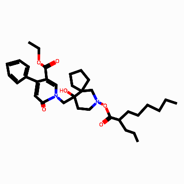 CCCCCCC(CCC)C(=O)ON1CCC(O)(Cn2cc(C(=O)OCC)c(-c3ccccc3)cc2=O)C2(CCCC2)C1